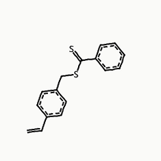 C=Cc1ccc(CSC(=S)c2ccccc2)cc1